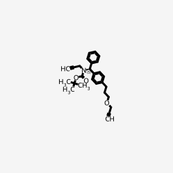 C#CCOCCCc1ccc([C@H](c2ccccc2)N(CC#C)C(=O)OC(C)(C)C)cc1